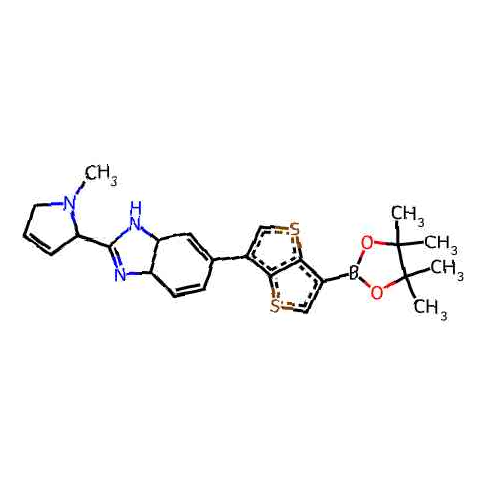 CN1CC=CC1C1=NC2C=CC(c3csc4c(B5OC(C)(C)C(C)(C)O5)csc34)=CC2N1